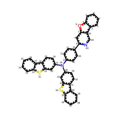 c1ccc2c(c1)oc1cc(-c3ccc(N(c4ccc5c(c4)sc4ccccc45)c4ccc5c(c4)sc4ccccc45)cc3)ncc12